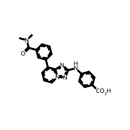 CN(C)C(=O)c1cccc(-c2cccn3nc(Nc4ccc(C(=O)O)cc4)nc23)c1